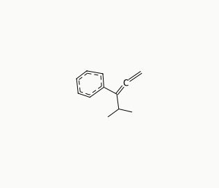 C=C=C(c1ccccc1)C(C)C